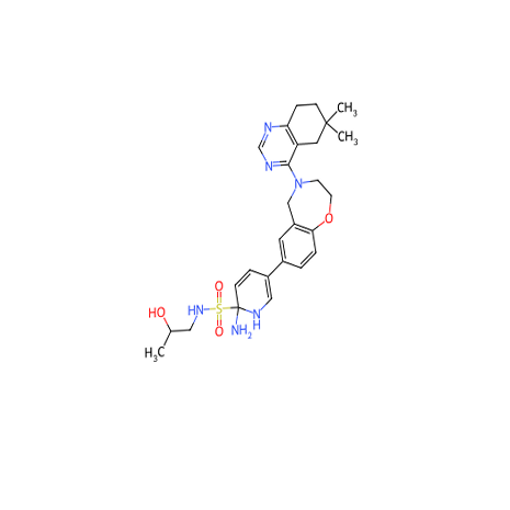 CC(O)CNS(=O)(=O)C1(N)C=CC(c2ccc3c(c2)CN(c2ncnc4c2CC(C)(C)CC4)CCO3)=CN1